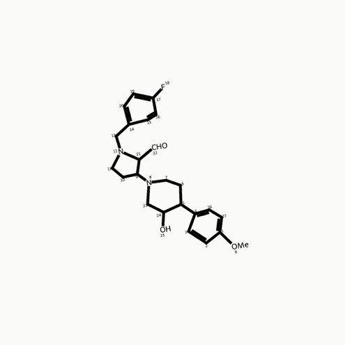 COc1ccc(C2CCN(C3CCN(Cc4ccc(F)cc4)C3C=O)CC2O)cc1